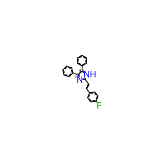 Fc1ccc(C=CC2=N[C@@H](c3ccccc3)[C@@H](c3ccccc3)N2)cc1